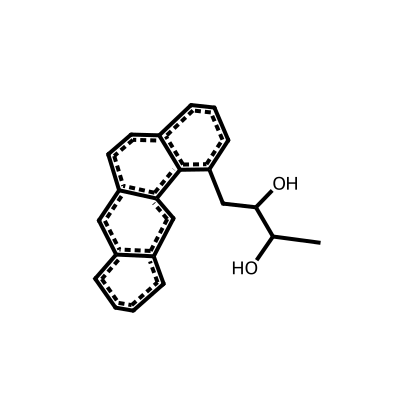 CC(O)C(O)Cc1cccc2ccc3cc4ccccc4cc3c12